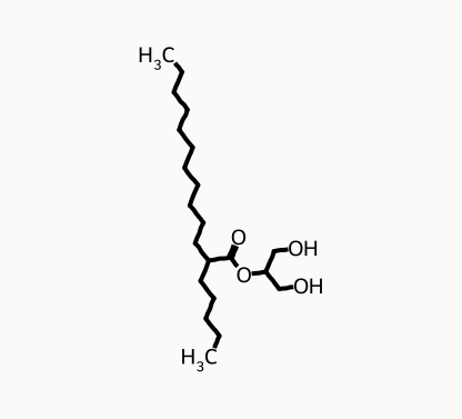 CCCCCCCCCCCC(CCCCC)C(=O)OC(CO)CO